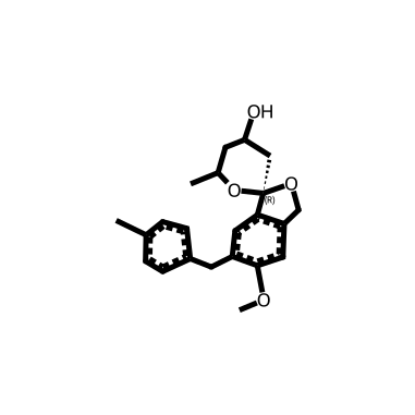 COc1cc2c(cc1Cc1ccc(C)cc1)[C@]1(CC(O)CC(C)O1)OC2